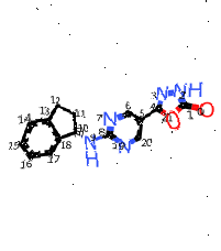 O=c1[nH]nc(-c2cnc(N[C@H]3CCc4ccccc43)nc2)o1